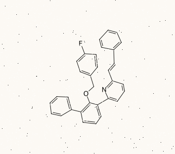 Fc1ccc(COc2c(-c3ccccc3)cccc2-c2cccc(C=Cc3ccccc3)n2)cc1